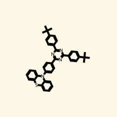 CC(C)(C)c1ccc(-c2nc(-c3ccc(N4c5ccccc5Sc5ccccc54)cc3)nc(-c3ccc(C(C)(C)C)cc3)n2)cc1